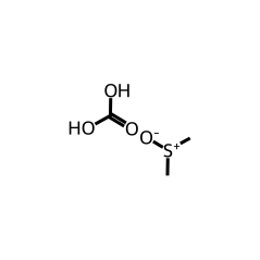 C[S+](C)[O-].O=C(O)O